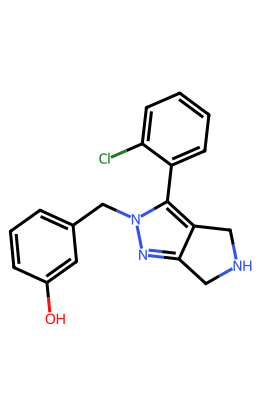 Oc1cccc(Cn2nc3c(c2-c2ccccc2Cl)CNC3)c1